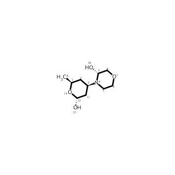 C[C@H]1C[C@@H](N2CCOC[C@H]2O)C[C@H](O)O1